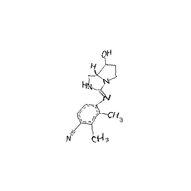 Cc1c(C#N)ccc(/N=C2\NC[C@@H]3C(O)CCN23)c1C